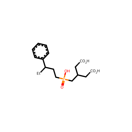 CCC(CCP(=O)(O)CC(CC(=O)O)CC(=O)O)c1ccccc1